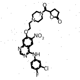 O=C1CCC(C(=O)N2CCN(CCOc3cc4ncnc(Nc5ccc(F)c(Cl)c5)c4cc3[N+](=O)[O-])CC2)O1